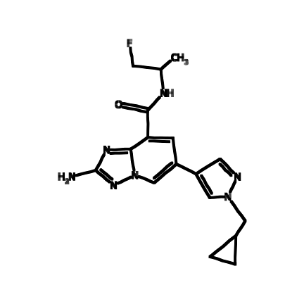 CC(CF)NC(=O)c1cc(-c2cnn(CC3CC3)c2)cn2nc(N)nc12